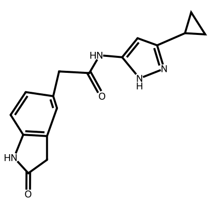 O=C(Cc1ccc2c(c1)CC(=O)N2)Nc1cc(C2CC2)n[nH]1